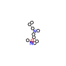 c1ccc(-c2nc3ccc4cccc(-c5ccc6ccc(N(c7ccccc7)c7ccc(-c8cccc9ccccc89)cc7)cc6c5)c4c3o2)cc1